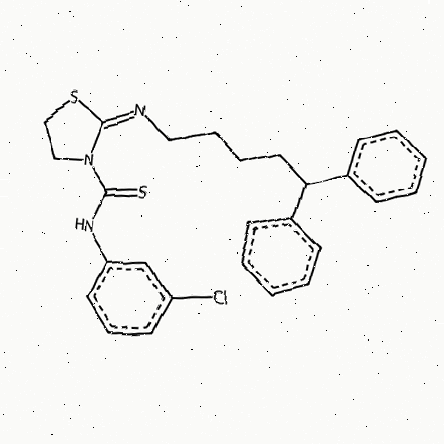 S=C(Nc1cccc(Cl)c1)N1CCS/C1=N/CCCCC(c1ccccc1)c1ccccc1